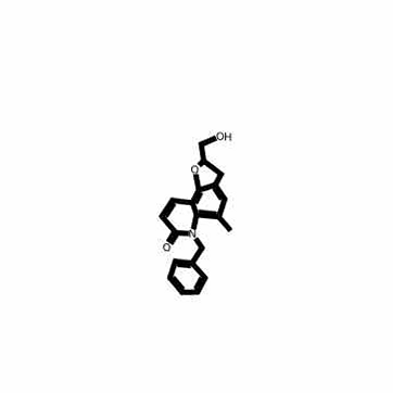 Cc1cc2c(c3ccc(=O)n(Cc4ccccc4)c13)OC(CO)C2